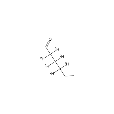 [2H]C([2H])(C=O)C([2H])([2H])C([2H])([2H])CC